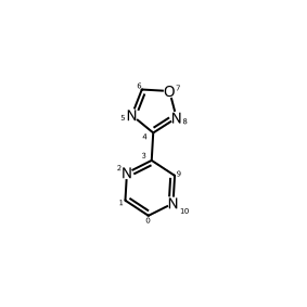 c1cnc(-c2ncon2)cn1